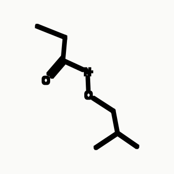 CCC(=O)[N]OCC(C)C